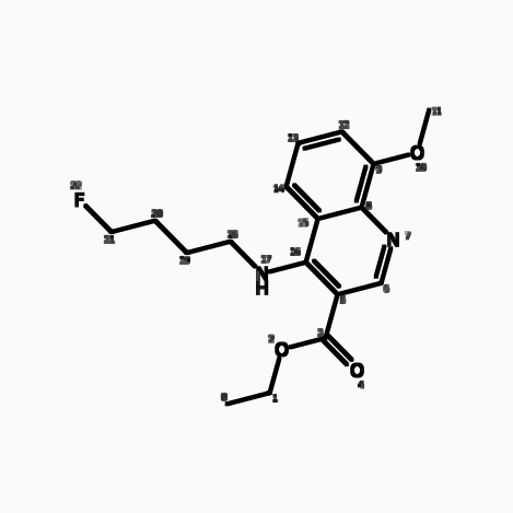 CCOC(=O)c1cnc2c(OC)cccc2c1NCCCCF